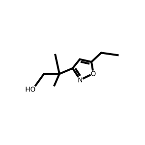 CCc1cc(C(C)(C)CO)no1